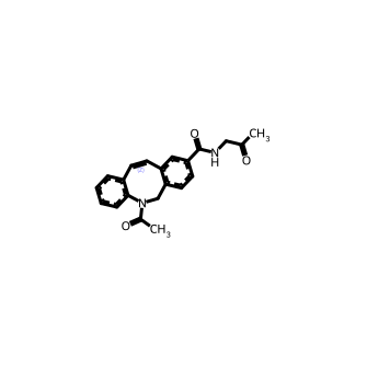 CC(=O)CNC(=O)c1ccc2c(c1)/C=C\c1ccccc1N(C(C)=O)C2